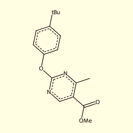 COC(=O)c1cnc(Oc2ccc(C(C)(C)C)cc2)nc1C